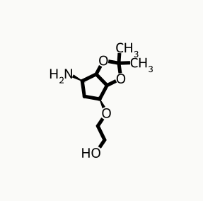 CC1(C)OC2C(O1)[C@@H](OCCO)C[C@H]2N